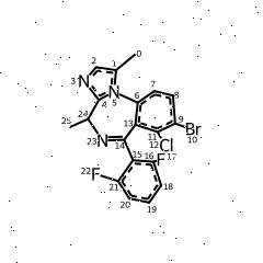 Cc1cnc2n1-c1ccc(Br)c(Cl)c1C(c1c(F)cccc1F)=NC2C